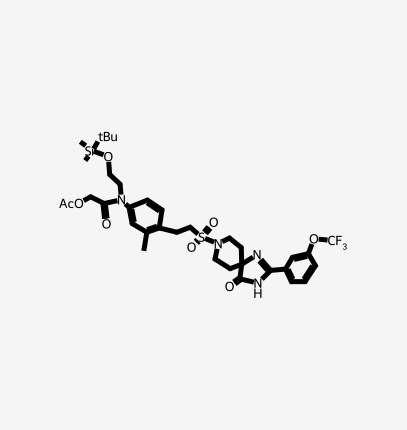 CC(=O)OCC(=O)N(CCO[Si](C)(C)C(C)(C)C)c1ccc(CCS(=O)(=O)N2CCC3(CC2)N=C(c2cccc(OC(F)(F)F)c2)NC3=O)c(C)c1